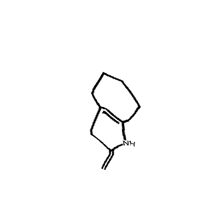 C=C1CC2=C(CCCC2)N1